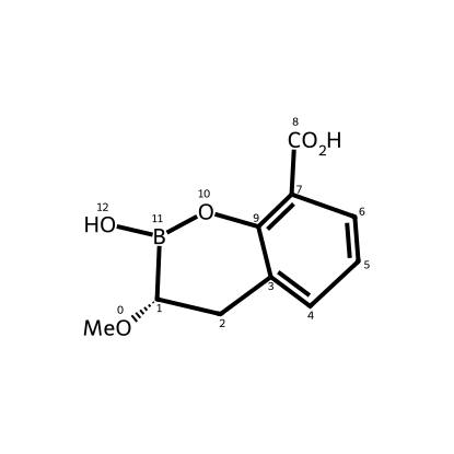 CO[C@H]1Cc2cccc(C(=O)O)c2OB1O